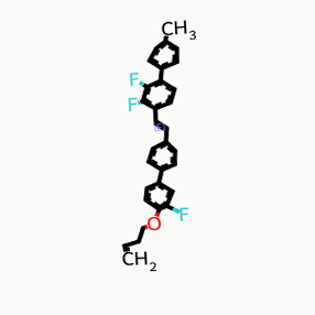 C=CCCOc1ccc(-c2ccc(/C=C/c3ccc(-c4ccc(C)cc4)c(F)c3F)cc2)cc1F